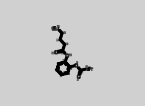 CCCC(=O)Oc1ccccc1OC(=O)CCCC(C)(C)C